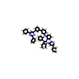 c1ccc(-c2cncc(-n3c4c(c5ccccc53)-c3ccccc3N(c3cccc(-c5cccc(-c6cc(-c7ccccc7)nc(-c7ccccc7)n6)c5)c3)c3ccccc3-4)c2)cc1